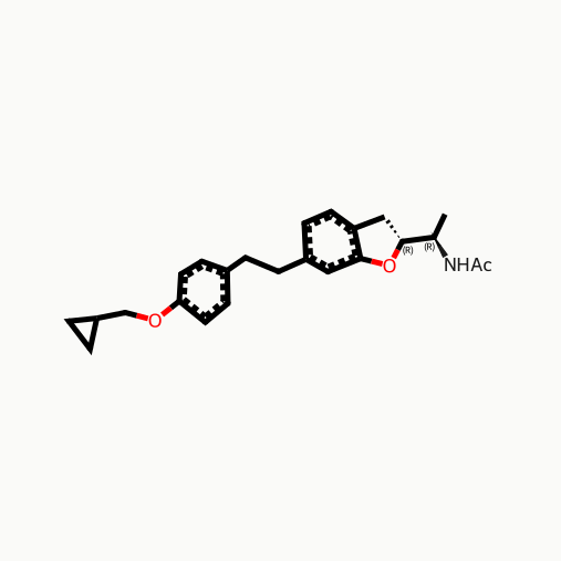 CC(=O)N[C@H](C)[C@H]1Cc2ccc(CCc3ccc(OCC4CC4)cc3)cc2O1